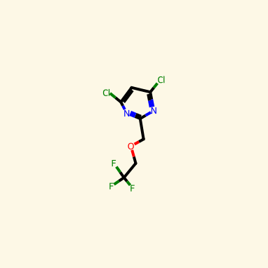 FC(F)(F)COCc1nc(Cl)cc(Cl)n1